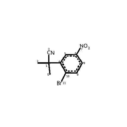 CC(C)(C#N)c1cc([N+](=O)[O-])ccc1Br